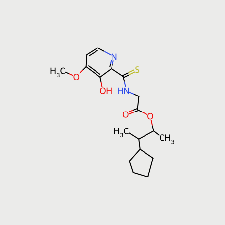 COc1ccnc(C(=S)NCC(=O)OC(C)C(C)C2CCCC2)c1O